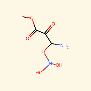 COC(=O)C(=O)C(N)ON(O)O